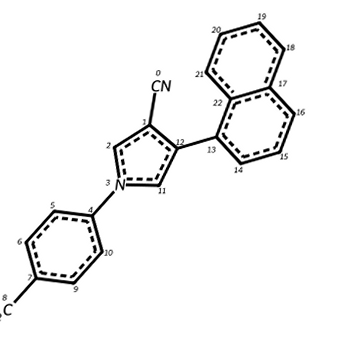 N#Cc1cn(-c2ccc(C(=O)O)cc2)cc1-c1cccc2ccccc12